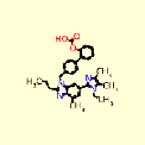 CCCc1nc2c(C)cc(-c3nc(C)c(C)n3CC)cc2n1Cc1ccc(-c2ccccc2OC(=O)O)cc1